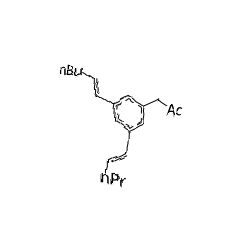 CCC/C=C/c1cc(/C=C/CCCC)cc(CC(C)=O)c1